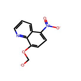 [O]COc1ccc([N+](=O)[O-])c2cccnc12